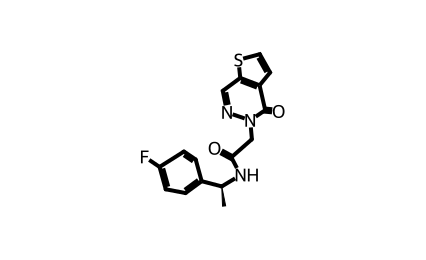 C[C@H](NC(=O)Cn1ncc2sccc2c1=O)c1ccc(F)cc1